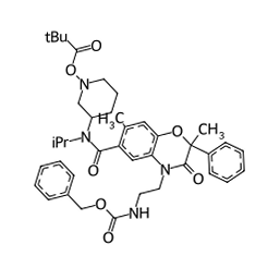 Cc1cc2c(cc1C(=O)N(C(C)C)C1CCCN(OC(=O)C(C)(C)C)C1)N(CCNC(=O)OCc1ccccc1)C(=O)C(C)(c1ccccc1)O2